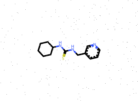 S=C(NCc1cccnc1)NC1CCCCC1